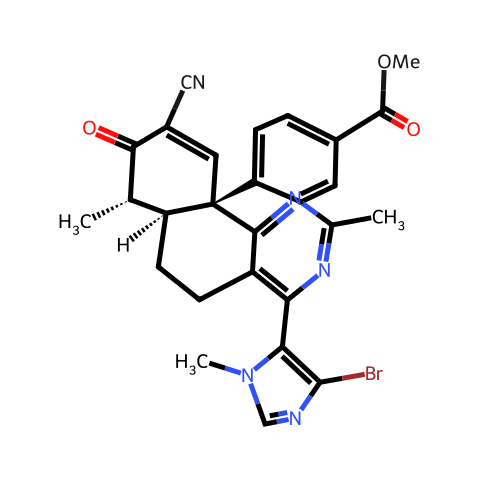 COC(=O)c1ccc([C@]23C=C(C#N)C(=O)[C@@H](C)[C@@H]2CCc2c(-c4c(Br)ncn4C)nc(C)nc23)cc1